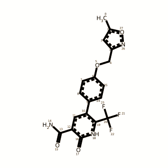 Cc1cc(COc2ccc(-c3cc(C(N)=O)c(=O)[nH]c3C(F)(F)F)cc2)no1